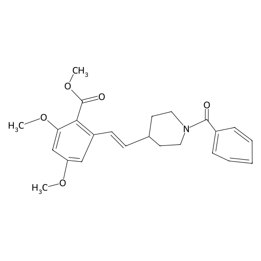 COC(=O)c1c(C=CC2CCN(C(=O)c3ccccc3)CC2)cc(OC)cc1OC